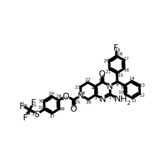 Nc1nc2c(c(=O)n1C(c1ccccc1)c1ccc(F)cc1)CCN(C(=O)Oc1ccc(SC(F)(F)F)cc1)C2